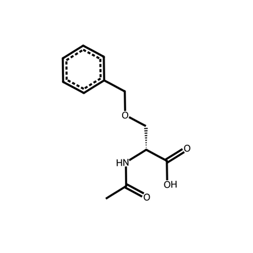 CC(=O)N[C@H](COCc1ccccc1)C(=O)O